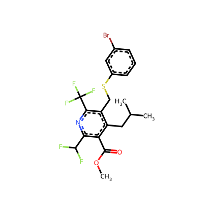 COC(=O)c1c(C(F)F)nc(C(F)(F)F)c(CSc2cccc(Br)c2)c1CC(C)C